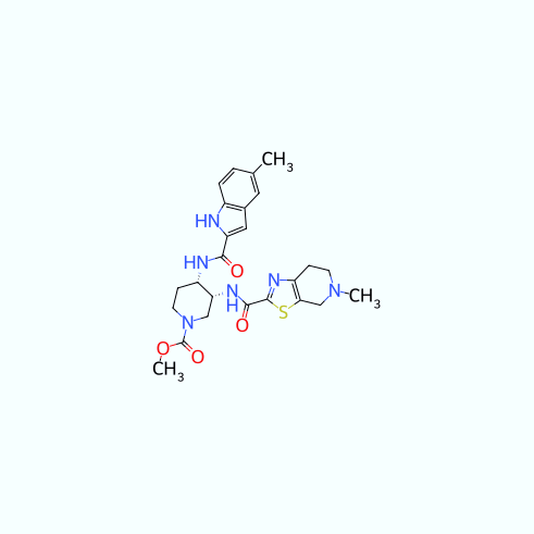 COC(=O)N1CC[C@H](NC(=O)c2cc3cc(C)ccc3[nH]2)[C@H](NC(=O)c2nc3c(s2)CN(C)CC3)C1